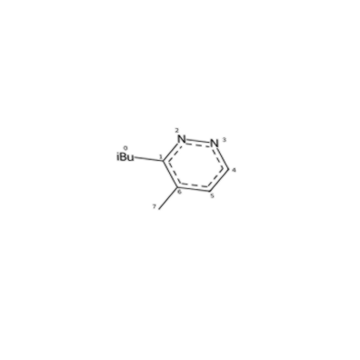 [CH2]CC(C)c1nnccc1C